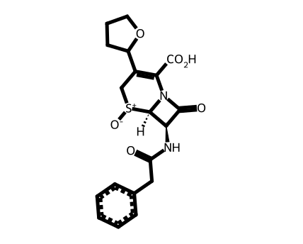 O=C(Cc1ccccc1)N[C@@H]1C(=O)N2C(C(=O)O)=C(C3CCCO3)C[S+]([O-])[C@H]12